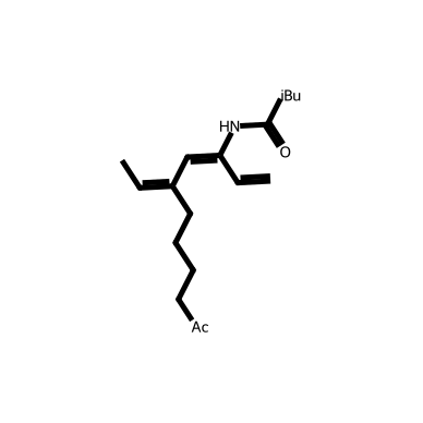 C=C/C(=C\C(=C/C)CCCCC(C)=O)NC(=O)C(C)CC